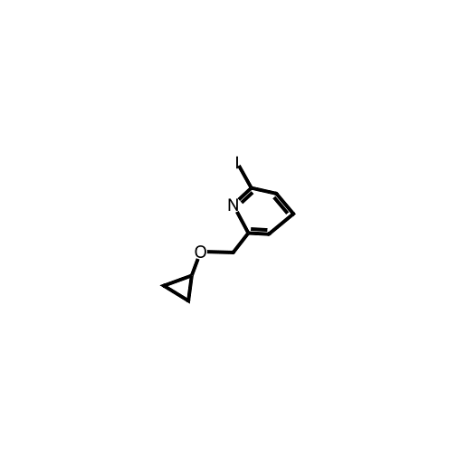 Ic1cccc(COC2CC2)n1